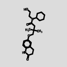 CC(C)(COc1ccc2c(c1)CCC(=O)N2)CC(=O)N(CCO)C1CCCCC1